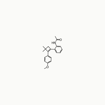 COc1ccc(C2=C(c3ccccc3NC(C)=O)CC2(C)C)cc1